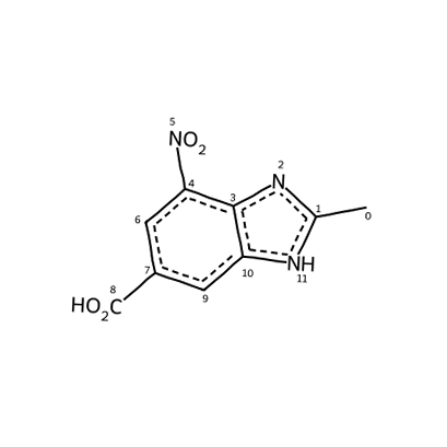 Cc1nc2c([N+](=O)[O-])cc(C(=O)O)cc2[nH]1